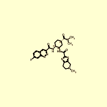 CN1CCc2nc(C(=O)N[C@@H]3C[C@@H](C(=O)N(C)C)CC[C@@H]3NC(=O)c3cc4ccc(F)cc4nn3)sc2C1